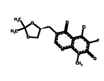 Cn1c(=O)c(F)c(Cl)c2c(=O)n(C[C@@H]3COC(C)(C)O3)cnc21